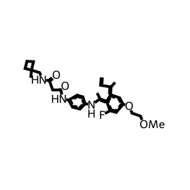 C=C/C(C)=c1/cc(OCCOC)cc(F)/c1=C(/C)Nc1ccc(NC(=O)CC(=O)NCC2(C)CCC2)cc1